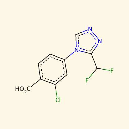 O=C(O)c1ccc(-n2cnnc2C(F)F)cc1Cl